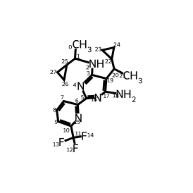 CC(Nc1nc(-c2cccc(C(F)(F)F)n2)nc(N)c1C(C)C1CC1)C1CC1